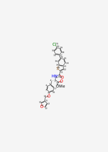 COC(=O)[C@H](Cc1ccc(OCc2ccoc2)cc1)NC(=O)c1cc2ccc(-c3ccc(Cl)cc3)cc2s1